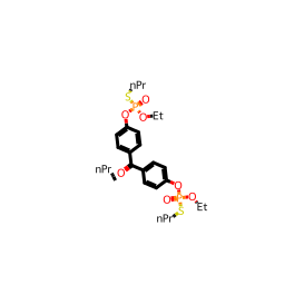 CCCC.CCCSP(=O)(OCC)Oc1ccc(C(=O)c2ccc(OP(=O)(OCC)SCCC)cc2)cc1